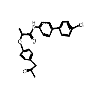 CC(=O)Cc1ccc(OC(C)C(=O)Nc2ccc(-c3ccc(Cl)cc3)cc2)cc1